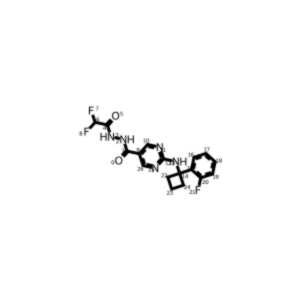 O=C(NNC(=O)C(F)F)c1cnc(NC2(c3ccccc3F)CCC2)nc1